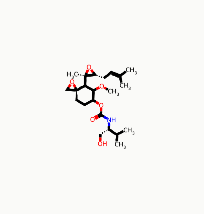 COC1C(OC(=O)N[C@@H](CO)C(C)C)CC[C@]2(CO2)C1[C@@]1(C)O[C@@H]1CC=C(C)C